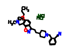 CCCOc1ccc2c(CCC3CCN(Cc4ccccc4C#N)CC3)noc2c1CN(C)C.Cl.Cl